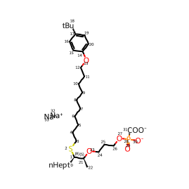 CCCCCCC[C@@H](SCCCCCCCCCCOc1ccc(C(C)(C)C)cc1)[C@H](C)OCCCOP(=O)([O-])C(=O)[O-].[Na+].[Na+]